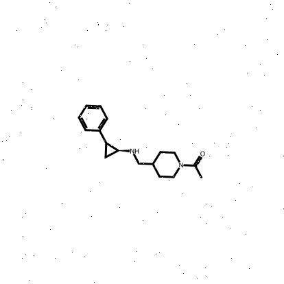 CC(=O)N1CCC(CN[C@H]2CC2c2ccccc2)CC1